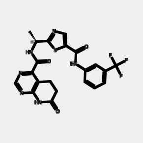 C[C@@H](NC(=O)c1ncnc2c1CCC(=O)N2)c1ncc(C(=O)Nc2cccc(C(F)(F)F)c2)s1